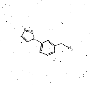 NCc1cccc(-n2c[c]nn2)c1